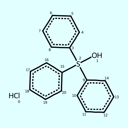 Cl.OS(c1ccccc1)(c1ccccc1)c1ccccc1